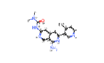 CCc1ccncc1-c1cc2cc(NC(=O)N(C)C)ncc2c(N)n1